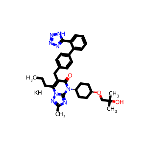 CCCc1c(Cc2ccc(-c3ccccc3-c3nnn[nH]3)cc2)c(=O)n([C@H]2CC[C@H](OCC(C)(C)O)CC2)c2nc(C)nn12.[KH]